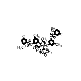 CC(=O)O.CCC=[N+](Oc1cc(C)cc(OS(=O)(=O)c2cc(Cl)ccc2OC)c1)N(C(=N)N)[N+](=CCC)Oc1cc(C)cc(OS(=O)(=O)c2cc(Cl)ccc2OC)c1